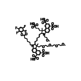 COCCOCCOCCOCCC1(C)\C(=C/C=C/C=C/C2N(CCOC)c3ccc4c(S(=O)(=O)O)cc(S(=O)(=O)O)cc4c3C2(C)CCCS(=O)(=O)O)N(CCCCCC(=O)Oc2c(F)c(F)cc(F)c2F)c2ccc3c(S(=O)(=O)O)cc(S(=O)(=O)O)cc3c21